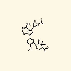 COc1ccc(-c2cc(-c3cnn(C(F)F)c3)c3c(N)ncnn23)cc1N1CCN(C(C)=O)C(C)(C)C1=O